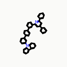 c1ccc(-c2cc(-c3ccccc3)nc(-c3cccc(-c4ccc(-c5cccc(-n6c7ccccc7c7ccccc76)c5)cc4)c3)c2)cc1